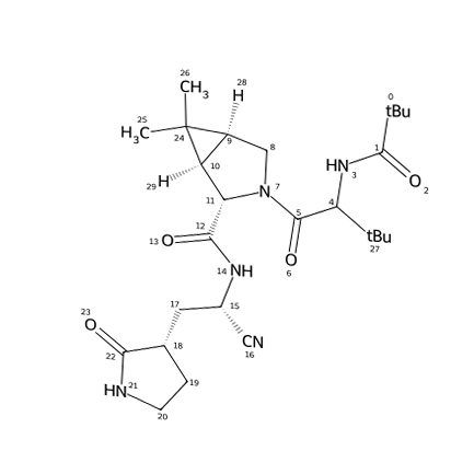 CC(C)(C)C(=O)NC(C(=O)N1C[C@H]2[C@@H]([C@H]1C(=O)N[C@H](C#N)C[C@@H]1CCNC1=O)C2(C)C)C(C)(C)C